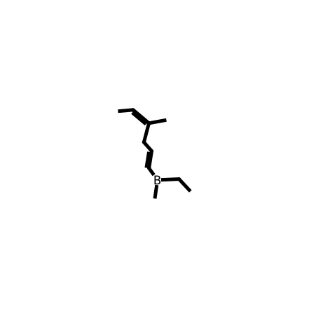 C/C=C(/C)C/C=C/B(C)CC